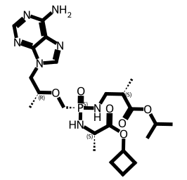 CC(C)OC(=O)[C@@H](C)CN[P@@](=O)(CO[C@H](C)Cn1cnc2c(N)ncnc21)N[C@@H](C)C(=O)OC1CCC1